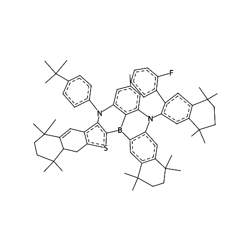 Cc1cc2c3c(c1)N(c1ccc(C(C)(C)C)cc1)c1c(sc4c1C=C1C(C4)C(C)(C)CCC1(C)C)B3c1cc3c(cc1N2c1cc2c(cc1-c1ccccc1F)C(C)(C)CCC2(C)C)C(C)(C)CCC3(C)C